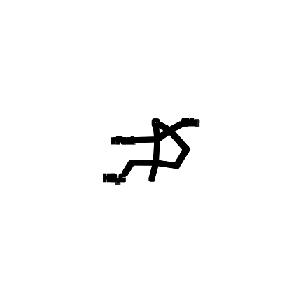 CCCCCC12OC1(OC(C)=O)CCC2(C)CC(=O)O